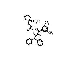 CCOC(=O)C1(CNC(=O)CCC(C(c2ccccc2)c2ccccc2)N(C)C(=O)c2cc(C(F)(F)F)cc(C(F)(F)F)c2)CCCC1